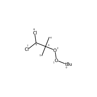 CC(C)(C)OOC(C)(C)C(Cl)Cl